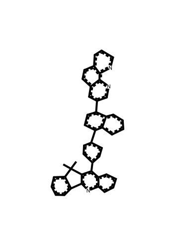 CC1(C)c2ccccc2-c2nc3ccccc3c(-c3ccc(-c4ccc(-c5cnc6c(ccc7cccnc76)c5)c5ccccc45)cc3)c21